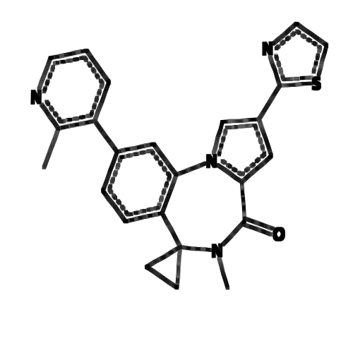 Cc1ncccc1-c1ccc2c(c1)-n1cc(-c3nccs3)cc1C(=O)N(C)C21CC1